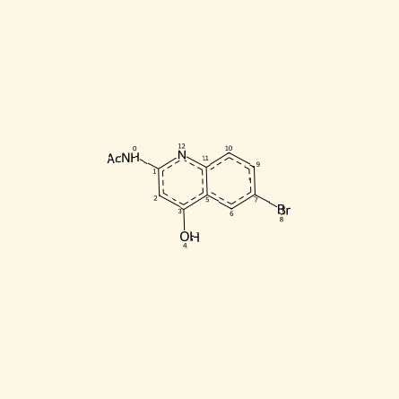 CC(=O)Nc1cc(O)c2cc(Br)ccc2n1